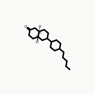 CCCCCC1CCC(C2CC[C@@H]3CC(=O)CC[C@H]3C2)CC1